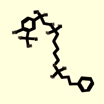 [2H]C([2H])(CCCCCOC([2H])([2H])CCCc1ccccc1)NCC([2H])(O)c1ccc(O)c(C([2H])([2H])O)c1